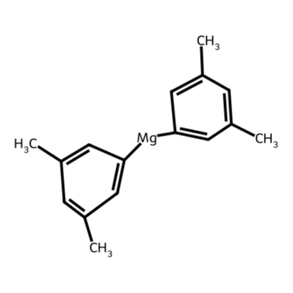 Cc1cc(C)c[c]([Mg][c]2cc(C)cc(C)c2)c1